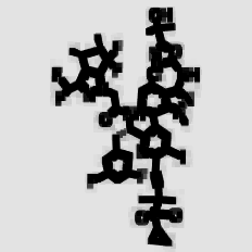 C[C@@H]1c2c(C(F)F)nn(CC(=O)N[C@@H](Cc3cc(F)cc(F)c3)c3nc(C#CC(C)(C)S(=O)(=O)C4CC4)c(I)cc3-c3ccc(Cl)c4c(Nc5nnc(C(C)(C)O)o5)nn(C)c34)c2C(F)(F)[C@@H]1C